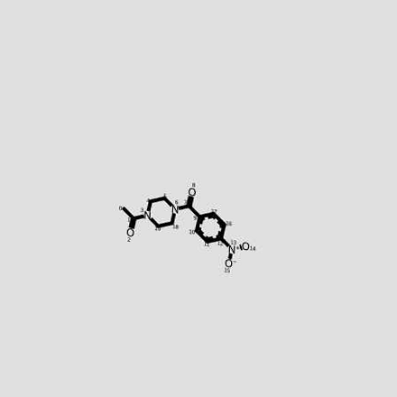 CC(=O)N1CCN(C(=O)c2ccc([N+](=O)[O-])cc2)CC1